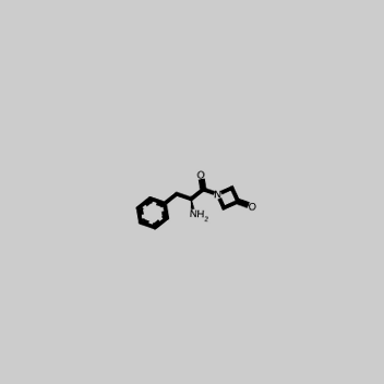 N[C@@H](Cc1ccccc1)C(=O)N1CC(=O)C1